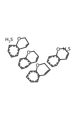 C1=Cc2ccccc2OC1.C1=Cc2ccccc2OC1.C1=Cc2ccccc2OC1.C1=Cc2ccccc2OC1.S.S